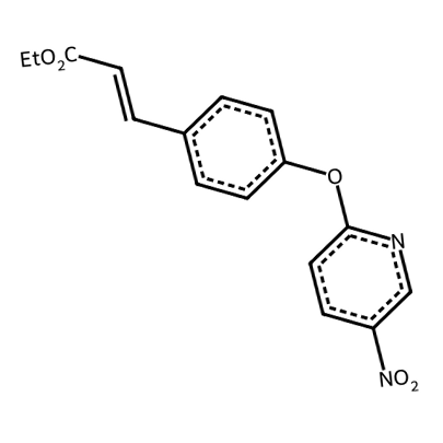 CCOC(=O)C=Cc1ccc(Oc2ccc([N+](=O)[O-])cn2)cc1